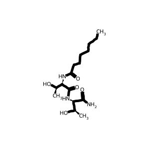 CCCCCCCC(=O)N[C@H](C(=O)N[C@H](C(N)=O)[C@@H](C)O)[C@@H](C)O